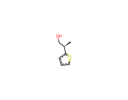 C[C@H](CO)c1cccs1